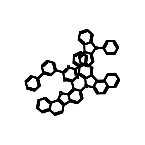 c1ccc(-c2cccc(-c3nc(-c4ccc5c(c4)c4ccccc4n5-c4ccccc4)nc(-c4c(-n5c6cc7ccccc7cc6c6c7ccccc7ccc65)ccc5c4oc4c6ccccc6ccc54)n3)c2)cc1